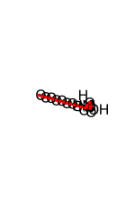 COCCOCCOCCOCCOCCOCCOCCOCCNC(=O)[C@H](CCC(=O)O)NC(=O)OC(C)(C)C